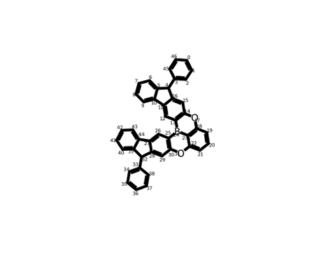 c1ccc(C2c3ccccc3-c3cc4c(cc32)Oc2cccc3c2B4c2cc4c(cc2O3)C(c2ccccc2)c2ccccc2-4)cc1